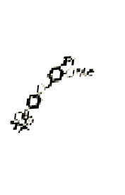 COc1cc(COc2ccc(B3OC(C)(C)C(C)(C)O3)cc2)ccc1C(C)C